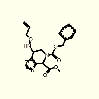 C=CCONC1CN(C(=O)OCc2ccccc2)C(C(=O)OC)c2ncsc21